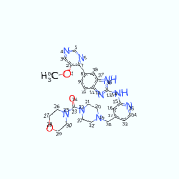 COc1cncnc1-c1ccc2nc(Nc3cc(CN4CCN(C(=O)N5CCOCC5)CC4)ccn3)[nH]c2c1